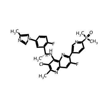 Cc1cn(-c2ccc(F)c([C@@H](C)Nc3c(Cl)c(C)nc4cc(F)c(-c5ccc(P(C)(C)=O)nc5)nc34)c2)cn1